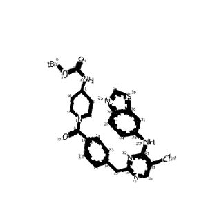 CC(C)(C)OC(=O)NC1CCN(C(=O)c2ccc(Cc3ncc(Cl)c(Nc4ccc5ncsc5c4)n3)cc2)CC1